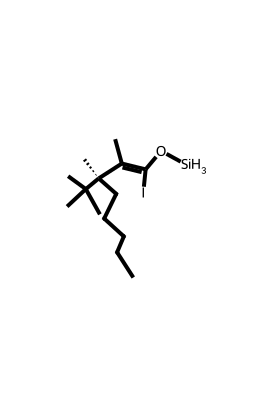 CCCCC[C@](C)(C(C)=C(I)O[SiH3])C(C)(C)C